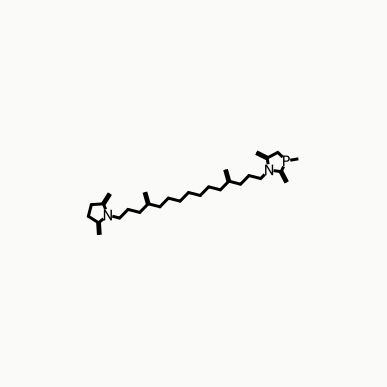 C=C(CCCCCCCC(=C)CCCN1C(=C)CP(C)C1=C)CCCN1C(=C)CCC1=C